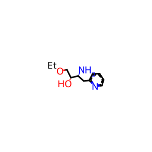 CCOC[C@@H](O)[C@H](N)Cc1ccccn1